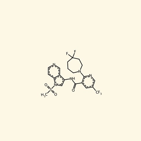 CS(=O)(=O)n1cc(NC(=O)c2cc(C(F)(F)F)cnc2N2CCCC(F)(F)CC2)c2cnccc21